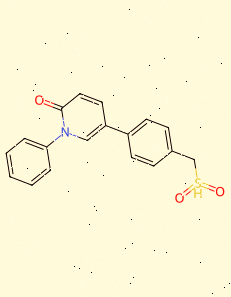 O=c1ccc(-c2ccc(C[SH](=O)=O)cc2)cn1-c1ccccc1